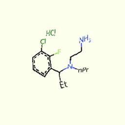 CCCN(CCN)C(CC)c1cccc(Cl)c1F.Cl